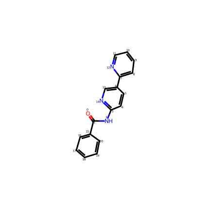 O=C(Nc1ccc(-c2ccccn2)cn1)c1ccccc1